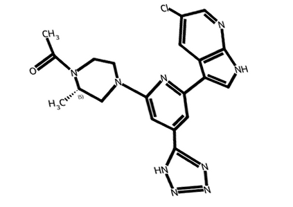 CC(=O)N1CCN(c2cc(-c3nnn[nH]3)cc(-c3c[nH]c4ncc(Cl)cc34)n2)C[C@@H]1C